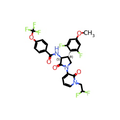 COc1cc(F)c([C@@H]2CN(c3cccn(CC(F)F)c3=O)C(=O)[C@H]2NC(=O)c2ccc(OC(F)(F)F)cc2)c(F)c1